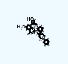 CC(C)c1cc(N)cc(C(C)C)c1NC(=O)NCC1(c2cccc(OCCCO)c2)CCN(c2ccccc2)CC1